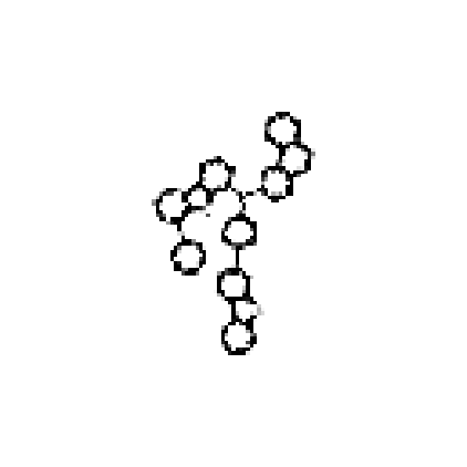 c1ccc(-c2cccc3c2sc2c(N(c4ccc(-c5ccc6c(c5)sc5ccccc56)cc4)c4ccc5ccc6ccccc6c5c4)cccc23)cc1